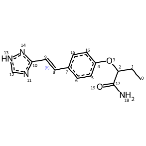 CCC(Oc1ccc(/C=C/c2nc[nH]n2)cc1)C(N)=O